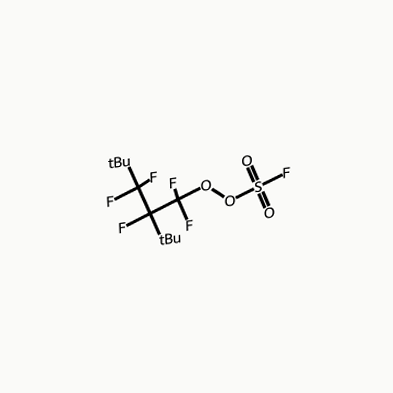 CC(C)(C)C(F)(F)C(F)(C(C)(C)C)C(F)(F)OOS(=O)(=O)F